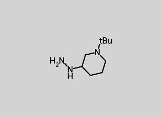 CC(C)(C)N1CCCC(NN)C1